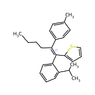 CCCC/C(=C(/c1cccs1)c1ccccc1C(C)C)c1ccc(C)cc1